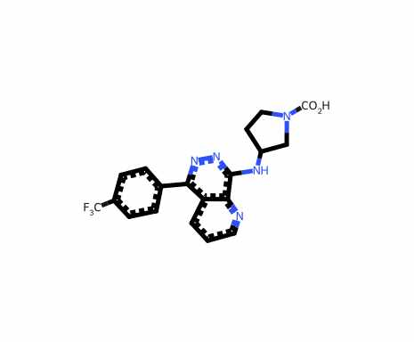 O=C(O)N1CCC(Nc2nnc(-c3ccc(C(F)(F)F)cc3)c3cccnc23)C1